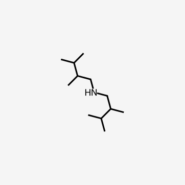 CC(C)C(C)CNCC(C)C(C)C